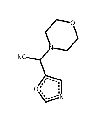 N#CC(c1cnco1)N1CCOCC1